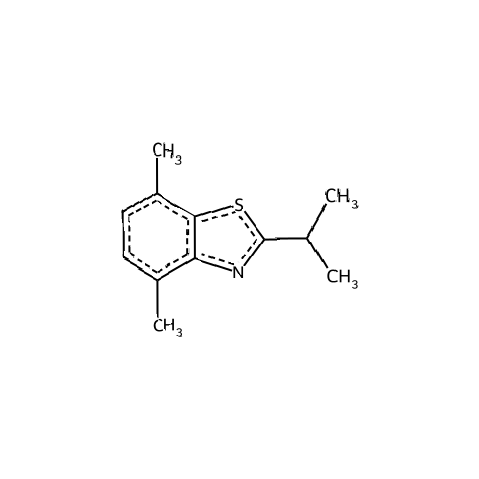 Cc1ccc(C)c2sc(C(C)C)nc12